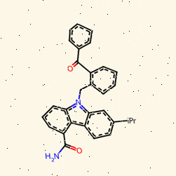 CC(C)c1c[c]c2c3c(C(N)=O)cccc3n(Cc3ccccc3C(=O)c3ccccc3)c2c1